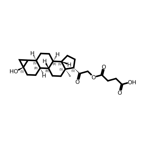 C[C@]12CC[C@@H]3[C@H]4CC[C@]5(O)CC5[C@H]4CC[C@H]3[C@@H]1CC[C@@H]2C(=O)COC(=O)CCC(=O)O